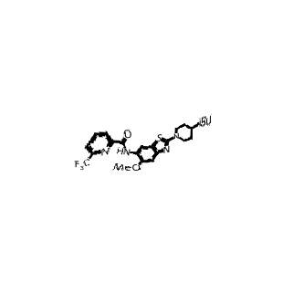 CCC(C)C1CCN(c2nc3cc(OC)c(NC(=O)c4cccc(C(F)(F)F)n4)cc3s2)CC1